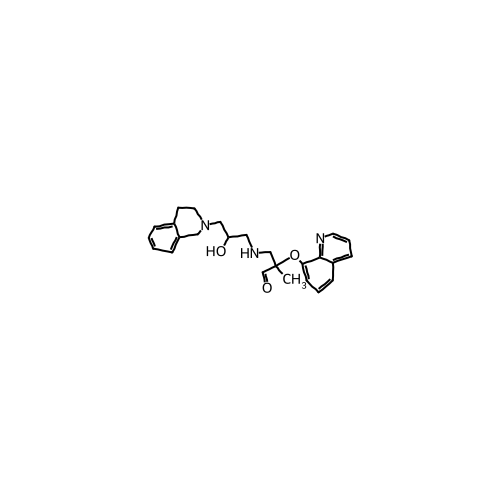 CC(C=O)(CNCC(O)CN1CCc2ccccc2C1)Oc1cccc2cccnc12